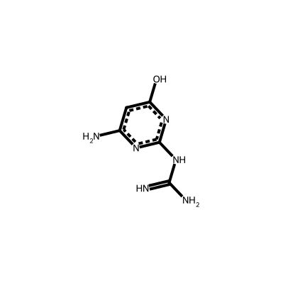 N=C(N)Nc1nc(N)cc(O)n1